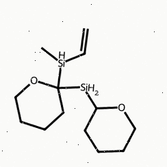 C=C[SiH](C)C1([SiH2]C2CCCCO2)CCCCO1